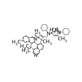 C/C(=C/C(C)=[N+](\CC1=CC2(C)[n+]3cc4ccc(C)cc4c4c3-c3c(ccc5cncc(c35)C4(C)C)C12C)C1CCCCC1)N(C)C1CCCCC1